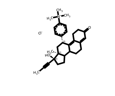 CC#C[C@@]1(O)CCC2C3CCC4=CC(=O)CCC4=C3[C@@H](c3ccc([N+](C)(C)C)cc3)C[C@@]21C.[Cl-]